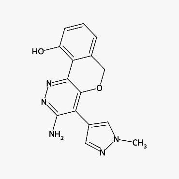 Cn1cc(-c2c(N)nnc3c2OCc2cccc(O)c2-3)cn1